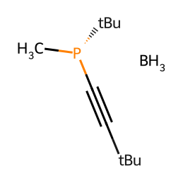 B.C[P@@](C#CC(C)(C)C)C(C)(C)C